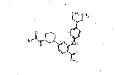 CCN(CC)c1ccc(Nc2nc(N3CCCC(NC(=O)O)C3)ccc2C(N)=O)cc1